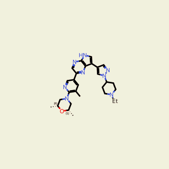 CCN1CCC(n2cc(-c3c[nH]c4ncc(-c5cnc(N6C[C@@H](C)O[C@@H](C)C6)c(C)c5)nc34)cn2)CC1